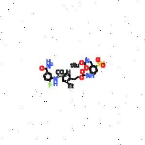 CCc1cc(C(Nc2cc(C(N)=O)ccc2F)C(=O)O)ccc1CCOC(=O)Nc1ccc([SH](=O)=O)c(CN(C)C(=O)OC(C)(C)C)c1